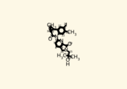 CC#CC(=O)N(c1ccc2c(n1)C(=O)N(CC(C)(C)O)C2)c1cc(C)c(I)cc1C1CC1